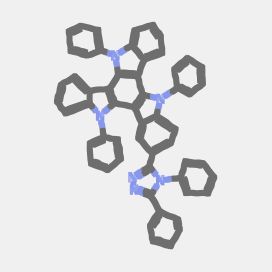 c1ccc(-c2nnc(-c3ccc4c(c3)c3c5c(c6ccccc6n5-c5ccccc5)c5c(c6ccccc6n5-c5ccccc5)c3n4-c3ccccc3)n2-c2ccccc2)cc1